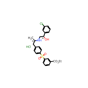 CCOC(=O)c1cccc(S(=O)(=O)c2ccc(C[C@@H](C)NC[C@H](O)c3cccc(Cl)c3)cc2)c1.Cl